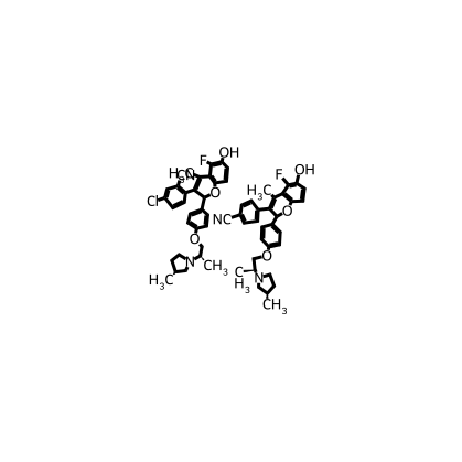 CC1=C(c2ccc(C#N)cc2)C(c2ccc(OC[C@H](C)N3CC[C@@H](C)C3)cc2)Oc2ccc(O)c(F)c21.CC1=C(c2ccc(Cl)cc2C#N)C(c2ccc(OC[C@H](C)N3CC[C@@H](C)C3)cc2)Oc2ccc(O)c(F)c21